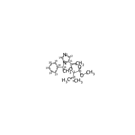 C=C(OC(C(=O)OC)C(C)C)c1cncn1C(C)c1ccccc1